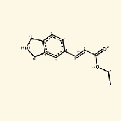 O=C(/C=C/c1ccc2c(c1)CNC2)OCI